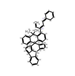 C=C/C(=C\C=C1\C=CC=CC1)c1cccc2c1C(C)(C)c1ccccc1C21c2ccccc2-n2c3ccccc3c3cccc1c32